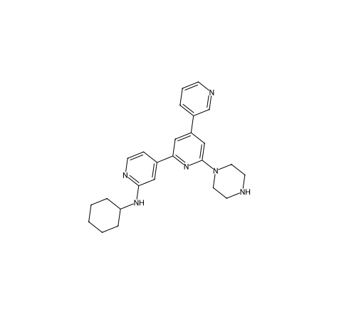 c1cncc(-c2cc(-c3ccnc(NC4CCCCC4)c3)nc(N3CCNCC3)c2)c1